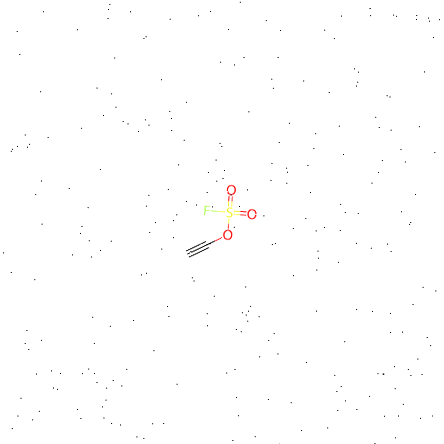 C#COS(=O)(=O)F